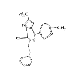 Cc1ccc(-c2nn(CCc3ccccc3)c(=O)c3nc(C)sc23)cc1